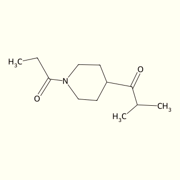 CCC(=O)N1CCC(C(=O)C(C)C)CC1